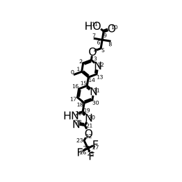 Cc1cc(OCC(C)(C)C(=O)O)ncc1-c1ccc(-c2nc(OCC(F)(F)F)n[nH]2)cn1